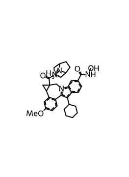 COc1ccc2c(c1)C1CC1(C(=O)N1CC3CCC(C1)N3C)Cn1c-2c(C2CCCCC2)c2ccc(C(=O)NO)cc21